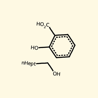 CCCCCCCCO.O=C(O)c1ccccc1O